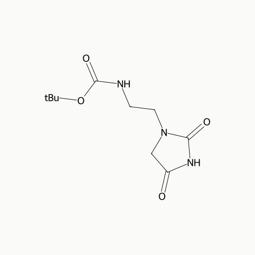 CC(C)(C)OC(=O)NCCN1CC(=O)NC1=O